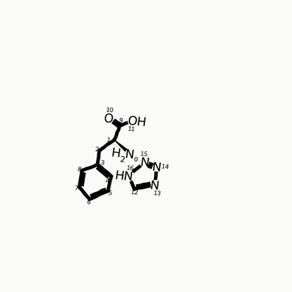 N[C@@H](Cc1ccccc1)C(=O)O.c1nnn[nH]1